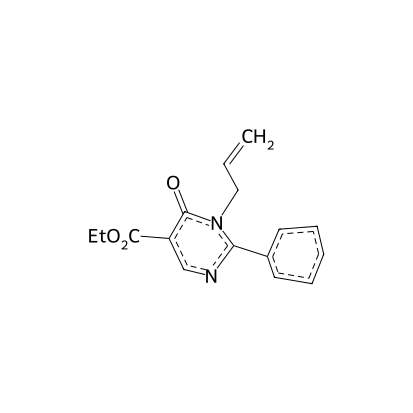 C=CCn1c(-c2ccccc2)ncc(C(=O)OCC)c1=O